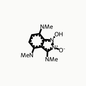 CNc1ccc(NC)c2c1c(NC)[n+]([O-])n2O